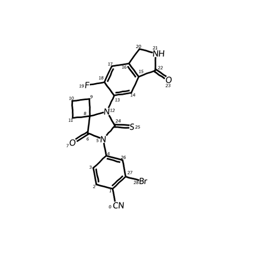 N#Cc1ccc(N2C(=O)C3(CCC3)N(c3cc4c(cc3F)CNC4=O)C2=S)cc1Br